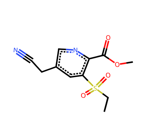 CCS(=O)(=O)c1cc(CC#N)cnc1C(=O)OC